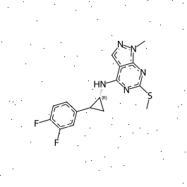 CSc1nc(N[C@@H]2CC2c2ccc(F)c(F)c2)c2cnn(C)c2n1